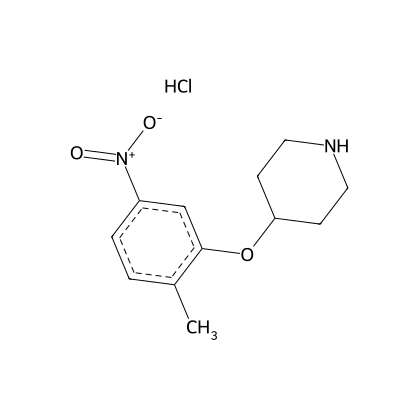 Cc1ccc([N+](=O)[O-])cc1OC1CCNCC1.Cl